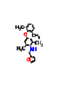 Cc1cc(Oc2c(C)cccc2C)cc(C)c1NCc1ccco1